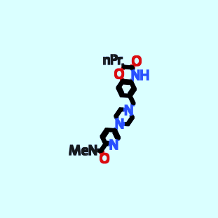 CCC[C@H]1Oc2ccc(CN3CCN(c4ccc(C(=O)NC)nc4)CC3)cc2NC1=O